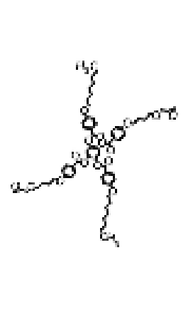 CCCCCCCCOc1ccc(C(=O)Oc2cc(OC(=O)c3ccc(OCCCCOCC4CO4)cc3)c(OC(=O)c3ccc(OCCCCCCCC)cc3)cc2OC(=O)c2ccc(OCCCCOCC3CO3)cc2)cc1